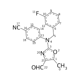 Cc1oc(N(Cc2cccc(F)c2)c2ccc(C#N)cc2)nc1C=O